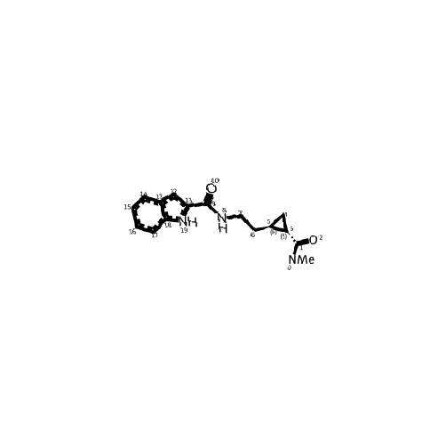 CNC(=O)[C@H]1C[C@@H]1CCNC(=O)c1cc2ccccc2[nH]1